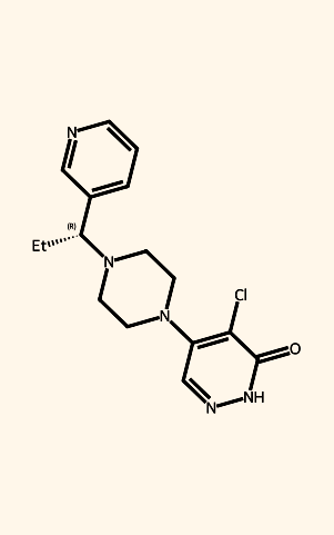 CC[C@H](c1cccnc1)N1CCN(c2cn[nH]c(=O)c2Cl)CC1